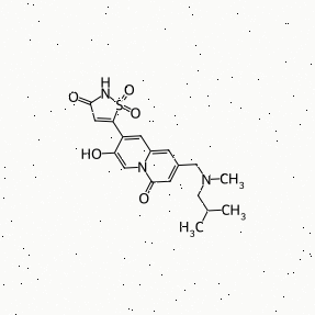 CC(C)CN(C)Cc1cc(=O)n2cc(O)c(C3=CC(=O)NS3(=O)=O)cc2c1